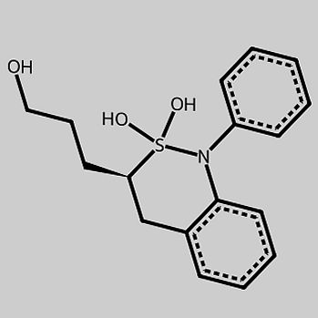 OCCC[C@@H]1Cc2ccccc2N(c2ccccc2)S1(O)O